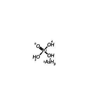 O=P(O)(O)O.[AsH3]